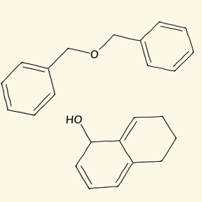 OC1C=CC=C2CCCC=C21.c1ccc(COCc2ccccc2)cc1